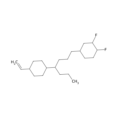 C=CC1CCC(C(CCC)CCCC2CCC(F)C(F)C2)CC1